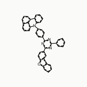 c1ccc(-c2nc(-c3ccc(N4c5ccccc5-c5cccc6cccc4c56)cc3)nc(-c3ccc4oc5ccccc5c4c3)n2)cc1